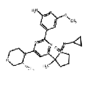 COc1cc(-c2nc(N3CCOC[C@H]3C)cc(C3(C)CCCS3(=O)=NC3CC3)n2)cc(N)n1